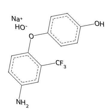 Nc1ccc(Oc2ccc(O)cc2)c(C(F)(F)F)c1.[Na+].[OH-]